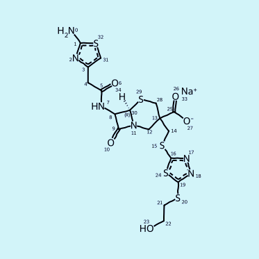 Nc1nc(CC(=O)NC2C(=O)N3CC(CSc4nnc(SCCO)s4)(C(=O)[O-])CS[C@H]23)cs1.[Na+]